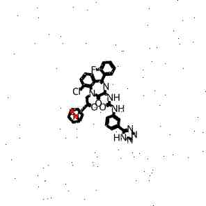 O=C(Nc1cccc(-c2nnn[nH]2)c1)NC1N=C(c2ccccc2F)c2cccc(Cl)c2N(CC(=O)N2CC3CCC(CC3)C2)C1=O